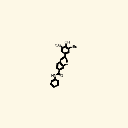 CC(C)(C)c1cc(C2=Cc3ccc(C(=O)Nc4ccccc4)cc3OC2)cc(C(C)(C)C)c1O